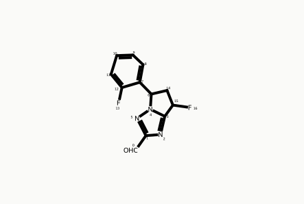 O=Cc1nc2n(n1)C(c1ccccc1F)CC2F